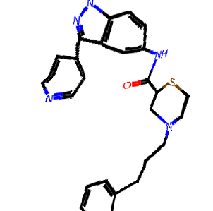 O=C(Nc1ccc2[nH]nc(-c3ccncc3)c2c1)C1CN(CCCc2ccccc2)CCS1